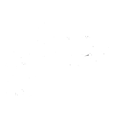 COc1nc(-c2ccc(F)c(-c3cccc(NC(=O)c4ccnn(C)c4=O)c3C)c2Cl)cc2c1[C@@H](N1CC(O)C1)CC2